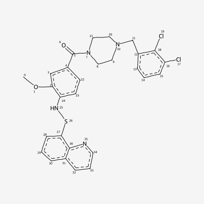 COc1cc(C(=O)N2CCN(Cc3cccc(Cl)c3Cl)CC2)ccc1NSc1cccc2cccnc12